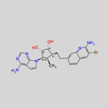 C[C@@H]1[C@H](CCc2ccc3cc(Br)c(N)nc3c2)[C@@H](O)[C@@H](O)[C@@H]1n1ccc2c(N)ncnc21